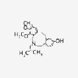 COc1ccc2c(c1OC)CN(CC(C)C)CCc1ccc(O)cc1CC2